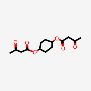 CC(=O)CC(=O)OC1CCC(OC(=O)CC(C)=O)CC1